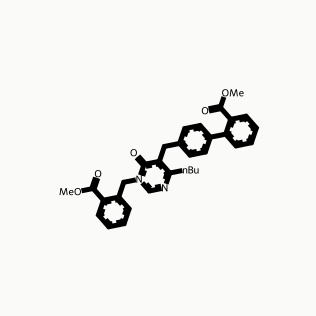 CCCCc1ncn(Cc2ccccc2C(=O)OC)c(=O)c1Cc1ccc(-c2ccccc2C(=O)OC)cc1